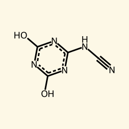 N#CNc1nc(O)nc(O)n1